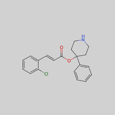 O=C(/C=C/c1ccccc1Cl)OC1(c2ccccc2)CCNCC1